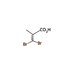 CC(C(=O)O)=C(Br)Br